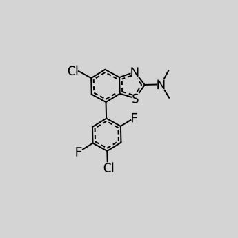 CN(C)c1nc2cc(Cl)cc(-c3cc(F)c(Cl)cc3F)c2s1